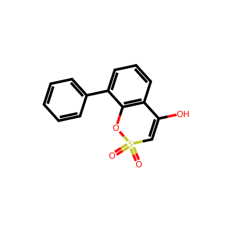 O=S1(=O)C=C(O)c2cccc(-c3ccccc3)c2O1